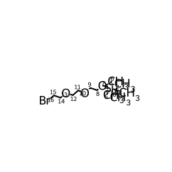 CC(C)(C)[Si](C)(C)OCCOCCOCCBr